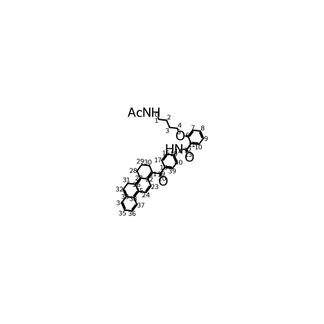 CC(=O)NCCCCOc1ccccc1C(=O)Nc1ccc(C(=O)C2=c3ccc4c(c3CCC2)CC=c2ccccc2=4)cc1